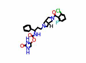 O=C1NCC(OC(=O)NC(CCN2CC3CN(C(=O)c4c(F)cccc4Cl)C[C@@H]3C2)c2ccccc2)N1